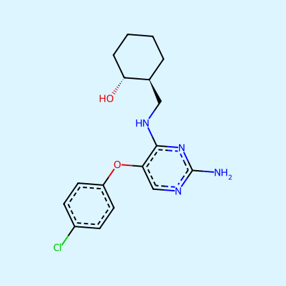 Nc1ncc(Oc2ccc(Cl)cc2)c(NC[C@@H]2CCCC[C@H]2O)n1